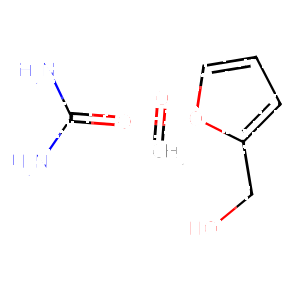 C=O.NC(N)=O.OCc1ccco1